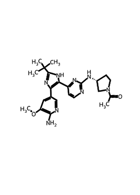 COc1cc(-c2nc(C(C)(C)C)[nH]c2-c2ccnc(N[C@@H]3CCN(C(C)=O)C3)n2)cnc1N